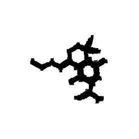 CCON=C1CCS(=O)(=O)c2c(C)cc(C(=O)O)c(C)c21